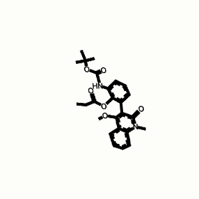 CCC(=O)Oc1c(NC(=O)OC(C)(C)C)cccc1-c1c(OC)c2ccccc2n(C)c1=O